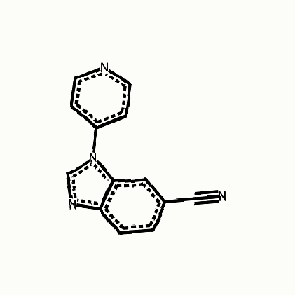 N#Cc1ccc2ncn(-c3ccncc3)c2c1